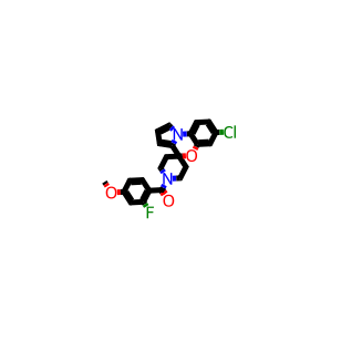 COc1ccc(C(=O)N2CCC3(CC2)Oc2cc(Cl)ccc2-n2cccc23)c(F)c1